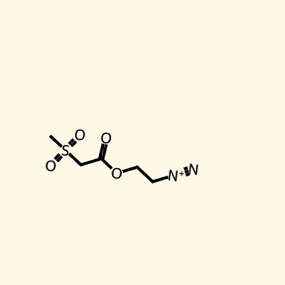 CS(=O)(=O)CC(=O)OCC[N+]#N